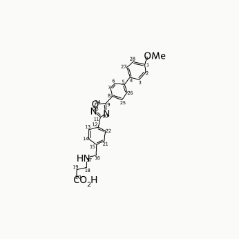 COc1ccc(-c2ccc(-c3nc(-c4ccc(CNCCC(=O)O)cc4)no3)cc2)cc1